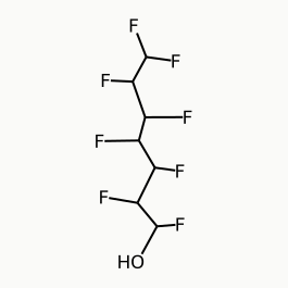 OC(F)C(F)C(F)C(F)C(F)C(F)C(F)F